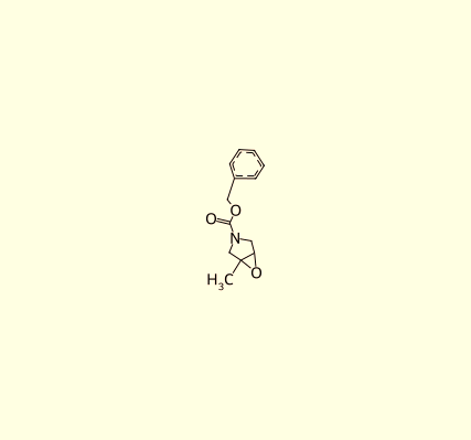 CC12CN(C(=O)OCc3ccccc3)CC1O2